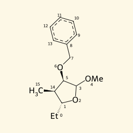 CC[C@H]1OC(OC)[C@H](OCc2ccccc2)[C@@H]1C